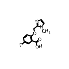 Cn1ccnc1COc1ccc(F)cc1C(=O)O